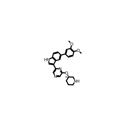 COc1ccc(-c2ccc3[nH]cc(-c4cncc(O[C@@H]5CCCNC5)n4)c3c2)cc1OC